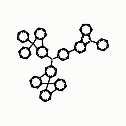 c1ccc(-n2c3ccccc3c3cc(-c4ccc(N(c5ccc6c(c5)-c5ccccc5C6(c5ccccc5)c5ccccc5)c5ccc6c(c5)-c5ccccc5C65c6ccccc6-c6ccccc65)cc4)ccc32)cc1